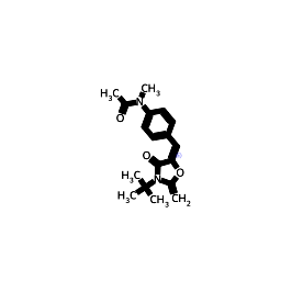 C=c1o/c(=C/c2ccc(N(C)C(C)=O)cc2)c(=O)n1C(C)(C)C